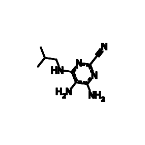 CC(C)CNc1nc(C#N)nc(N)c1N